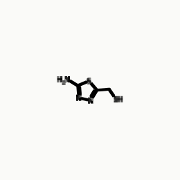 Nc1nnc(CS)s1